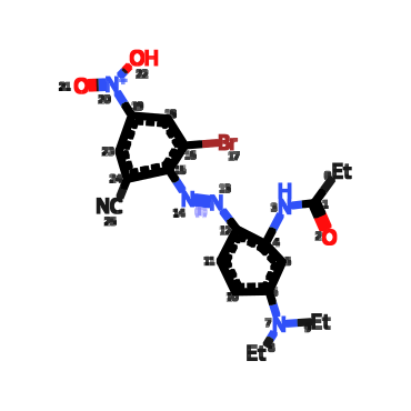 CCC(=O)Nc1cc(N(CC)CC)ccc1/N=N/c1c(Br)cc([N+](=O)O)cc1C#N